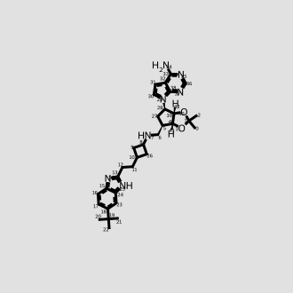 CC1(C)O[C@@H]2[C@@H](CNC3CC(CCc4nc5ccc(C(C)(C)C)cc5[nH]4)C3)C[C@@H](n3ccc4c(N)ncnc43)[C@@H]2O1